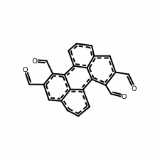 O=Cc1cc2cccc3c4c(C=O)c(C=O)cc5cccc(c(c1C=O)c23)c54